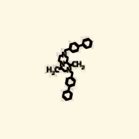 C=C1C2CN(Cc3ccc(-c4ccccc4)cc3)CCN2C(=C)CN1Cc1ccc(-c2ccccc2)cc1